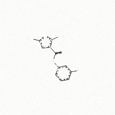 CCCCCc1cccc(NC(=O)c2cc(C)oc2C)c1